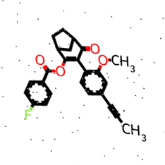 CC#Cc1ccc(C2=C(OC(=O)c3ccc(F)cc3)C3CCC(C3)C2=O)c(OC)c1